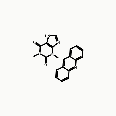 Cn1c(=O)c2[nH]cnc2n(C)c1=O.c1ccc2nc3ccccc3cc2c1